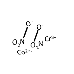 O=[N+]([O-])[O-].O=[N+]([O-])[O-].[Co+2].[Cr+3]